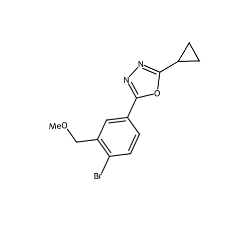 COCc1cc(-c2nnc(C3CC3)o2)ccc1Br